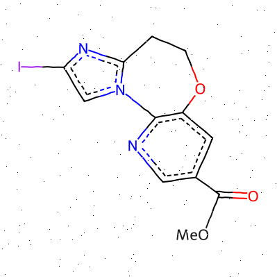 COC(=O)c1cnc2c(c1)OCCc1nc(I)cn1-2